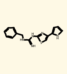 N=C(NCc1ccccc1)Nc1nc(-c2ccc[nH]2)cs1